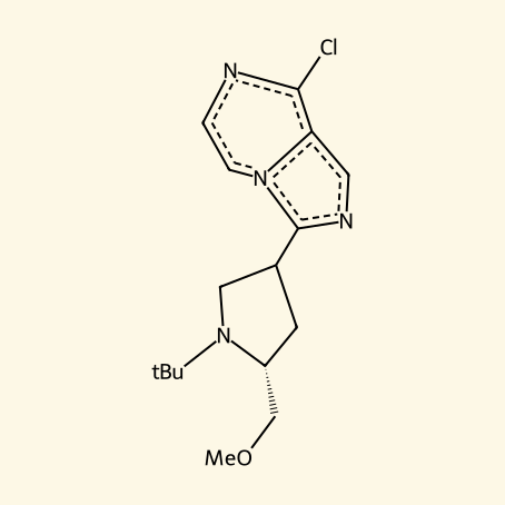 COC[C@H]1CC(c2ncc3c(Cl)nccn23)CN1C(C)(C)C